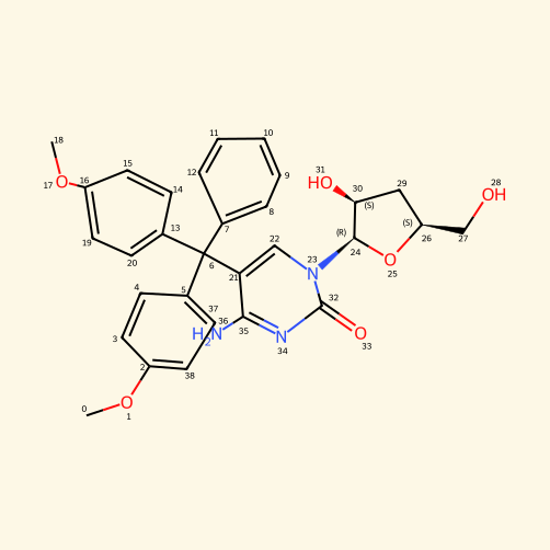 COc1ccc(C(c2ccccc2)(c2ccc(OC)cc2)c2cn([C@@H]3O[C@H](CO)C[C@@H]3O)c(=O)nc2N)cc1